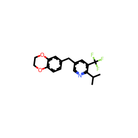 CC(C)c1ncc(Cc2ccc3c(c2)OCCO3)cc1C(F)(F)F